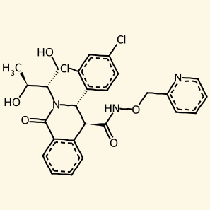 C[C@H](O)[C@H](CO)N1C(=O)c2ccccc2[C@H](C(=O)NOCc2ccccn2)[C@H]1c1ccc(Cl)cc1Cl